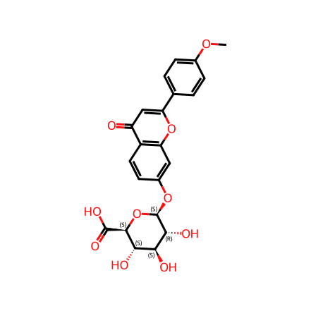 COc1ccc(-c2cc(=O)c3ccc(O[C@@H]4O[C@H](C(=O)O)[C@@H](O)[C@H](O)[C@H]4O)cc3o2)cc1